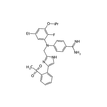 CCc1cc(OC(C)C)c(F)c(N(Cc2nc(-c3ccccc3S(C)(=O)=O)c[nH]2)c2ccc(C(=N)N)cc2)c1